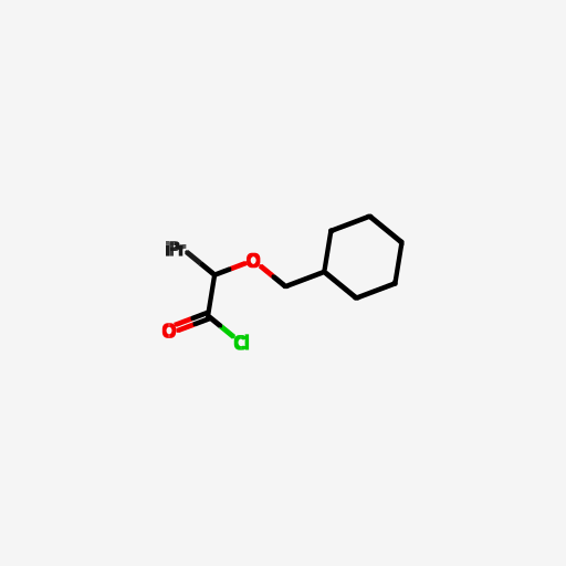 CC(C)C(OCC1CCCCC1)C(=O)Cl